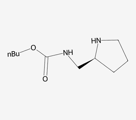 CCCCOC(=O)NC[C@@H]1CCCN1